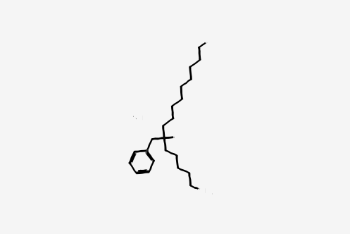 CCCCCCCCCCC(Cl)(CCCCCC)Cc1ccccc1.N